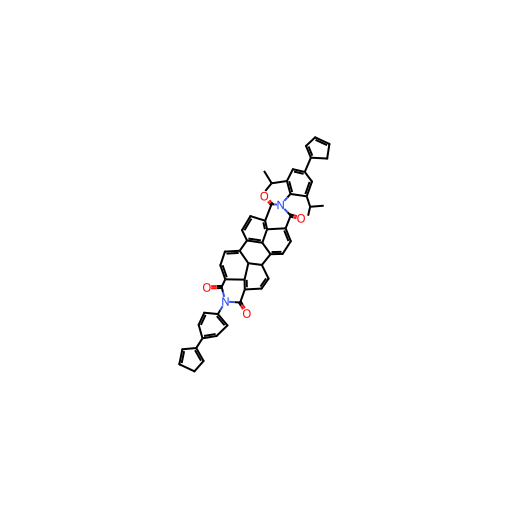 CC(C)c1cc(C2=CC=CC2)cc(C(C)C)c1N1C(=O)c2ccc3c4c(ccc(c24)C1=O)C1C=CC2=C4C(=CC=C3C41)C(=O)N(c1ccc(C3=CCC=C3)cc1)C2=O